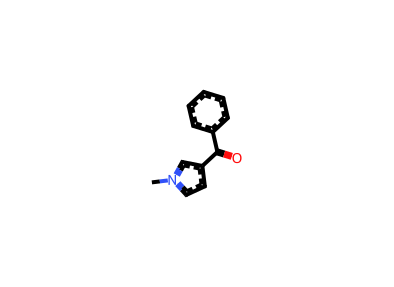 Cn1ccc(C(=O)c2ccccc2)c1